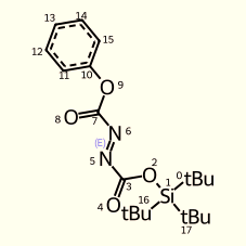 CC(C)(C)[Si](OC(=O)/N=N/C(=O)Oc1ccccc1)(C(C)(C)C)C(C)(C)C